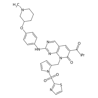 CC(C)C(=O)c1cc2cnc(Nc3ccc(OC4CCCN(C)C4)cc3)nc2n(Cc2cccn2S(=O)(=O)c2nccs2)c1=O